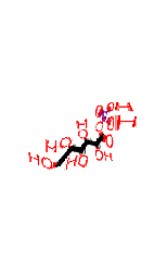 O=C(OP(=O)(O)O)[C@@H](O)[C@H](O)[C@@H](O)[C@@H](O)CO